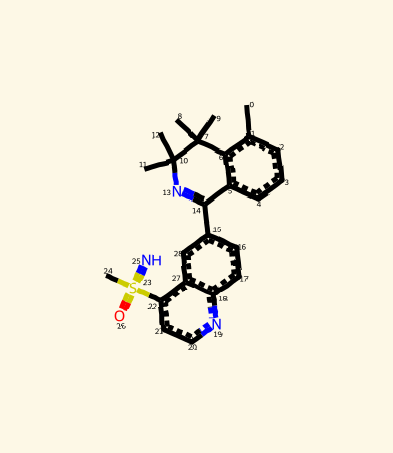 Cc1cccc2c1C(C)(C)C(C)(C)N=C2c1ccc2nccc(S(C)(=N)=O)c2c1